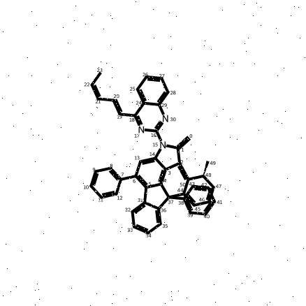 C=c1c2c3c4c(c(-c5ccccc5)cc3n1-c1nc(/C=C/C=C\C)c3ccccc3n1)-c1ccccc1C4(c1ccccc1)C1=CC=C[C@H](C)C=21